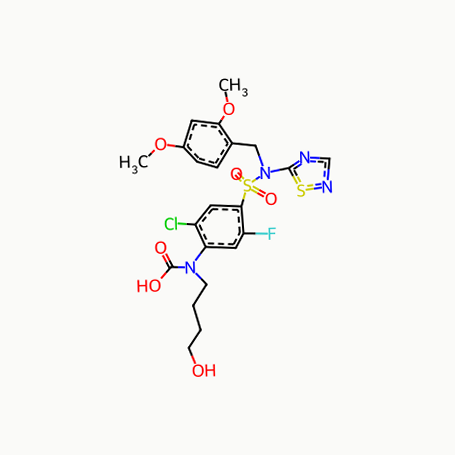 COc1ccc(CN(c2ncns2)S(=O)(=O)c2cc(Cl)c(N(CCCCO)C(=O)O)cc2F)c(OC)c1